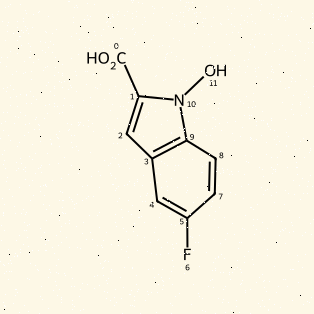 O=C(O)c1cc2cc(F)ccc2n1O